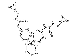 O=C(OCC1CO1)OC1=CCC(C2(c3ccc(OC(=O)OCC4CO4)cc3)CCCCC2)C=C1